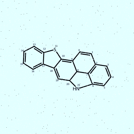 C1=Cc2cccc3c2C2C1=c1sc4ccccc4c1=CC2N3